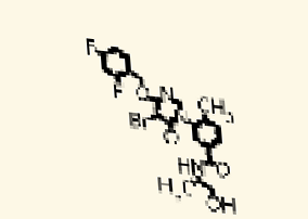 Cc1ccc(C(=O)N[C@H](C)CO)cc1-n1cnc(OCc2ccc(F)cc2F)c(Br)c1=O